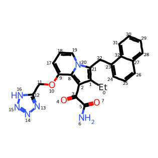 CCc1c(C(=O)C(N)=O)c2c(OCc3nnn[nH]3)cccn2c1Cc1cccc2ccccc12